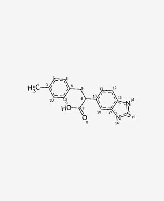 Cc1ccc(CC(C(=O)O)c2ccc3nsnc3c2)cc1